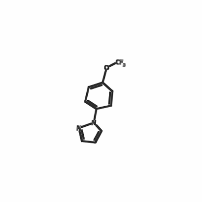 FC(F)(F)Oc1ccc(-n2cccn2)cc1